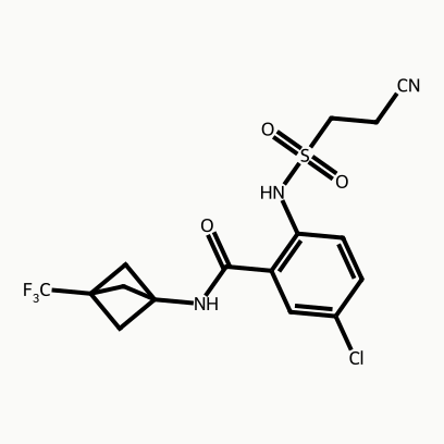 N#CCCS(=O)(=O)Nc1ccc(Cl)cc1C(=O)NC12CC(C(F)(F)F)(C1)C2